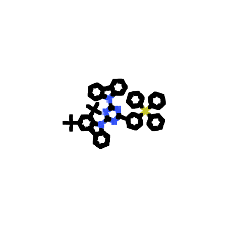 CC(C)(C)c1cc(C(C)(C)C)c2c(c1)c1ccccc1n2-c1nc(-c2cccc(S(c3ccccc3)(c3ccccc3)c3ccccc3)c2)nc(-n2c3ccccc3c3ccccc32)n1